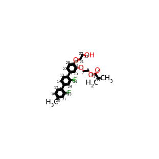 C=C(C)C(=O)OCCOc1cc(-c2ccc(-c3ccc(C)cc3F)cc2F)ccc1OCCO